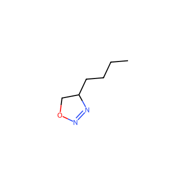 CCCCC1CON=N1